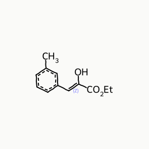 CCOC(=O)/C(O)=C/c1cccc(C)c1